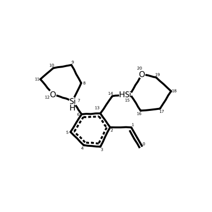 C=Cc1cccc([SiH]2CCCCO2)c1C[SiH]1CCCCO1